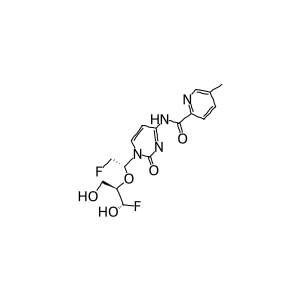 Cc1ccc(C(=O)Nc2ccn([C@@H](CF)O[C@H](CO)[C@@H](O)F)c(=O)n2)nc1